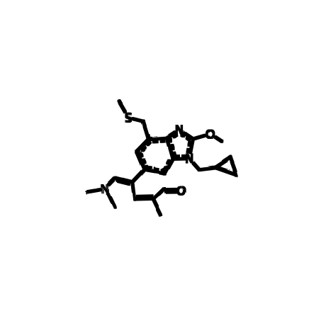 COc1nc2c(CSC)cc(C(/C=C(/C)C=O)=C/N(C)C)cc2n1CC1CC1